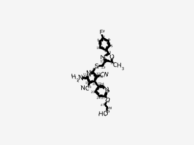 Cc1oc(-c2ccc(F)cc2)nc1CSc1nc(N)c(C#N)c(-c2ccc(OCCO)nc2)c1C#N